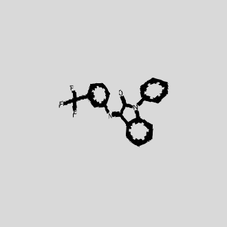 O=C1C(=Nc2cccc(C(F)(F)F)c2)c2ccccc2N1c1ccccc1